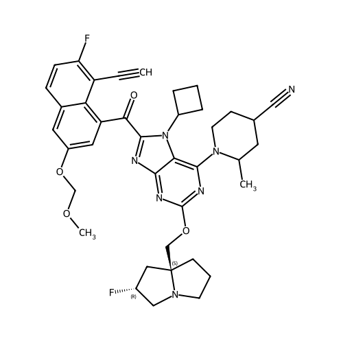 C#Cc1c(F)ccc2cc(OCOC)cc(C(=O)c3nc4nc(OC[C@@]56CCCN5C[C@H](F)C6)nc(N5CCC(C#N)CC5C)c4n3C3CCC3)c12